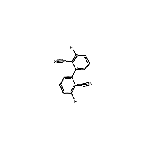 N#Cc1c(F)cccc1-c1cccc(F)c1C#N